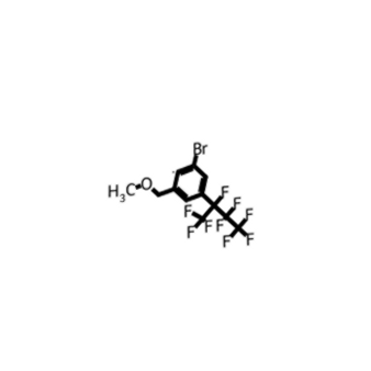 COCc1[c]c(Br)cc(C(F)(C(F)(F)F)C(F)(F)C(F)(F)F)c1